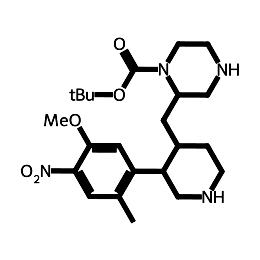 COc1cc(C2CNCCC2CC2CNCCN2C(=O)OC(C)(C)C)c(C)cc1[N+](=O)[O-]